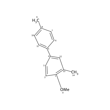 COc1ccc(-c2ccc(C)cc2)cc1C